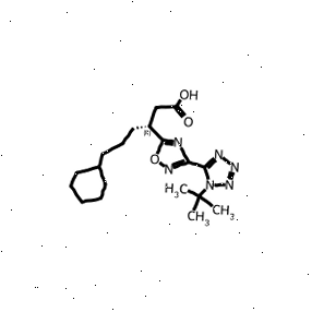 CC(C)(C)n1nnnc1-c1noc([C@H](CCCC2CCCCC2)CC(=O)O)n1